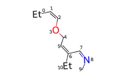 CC/C=C\OC/C=C(\C=N/C)CC